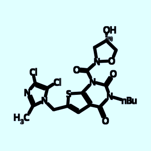 CCCCn1c(=O)c2cc(Cn3c(C)nc(Cl)c3Cl)sc2n(C(=O)N2C[C@H](O)CO2)c1=O